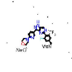 CNCc1cc(F)c(-c2ncc3[nH]nc(-c4ccc(N5CCO[C@@H](COC)C5)nc4)c3n2)c(C(F)(F)F)c1